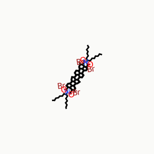 CCCCCCCC(CCCCCCC)N1C(=O)c2c(Br)cc3c4ccc5c6ccc7c8cc(Br)c9c%10c(c(Br)cc(c%11ccc(c%12ccc(c%13cc(Br)c(c2c3%13)C1=O)c4c5%12)c6c7%11)c%108)C(=O)N(C(CCCCCCC)CCCCCCC)C9=O